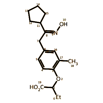 CCC(Oc1ccc(CC(=NO)C2CCCC2)cc1C)C(=O)O